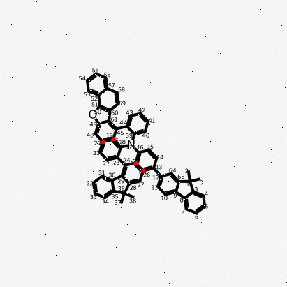 CC1(C)c2ccccc2-c2ccc(-c3ccc(N(c4ccccc4-c4cccc5c4-c4ccccc4C5(C)C)c4ccccc4-c4cccc5oc6c7ccccc7ccc6c45)cc3)cc21